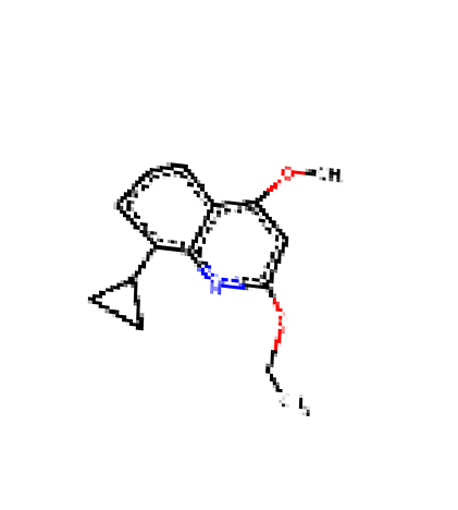 CCOc1cc(OC)c2cccc(C3CC3)c2n1